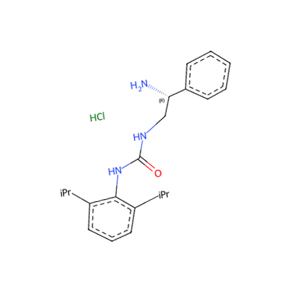 CC(C)c1cccc(C(C)C)c1NC(=O)NC[C@H](N)c1ccccc1.Cl